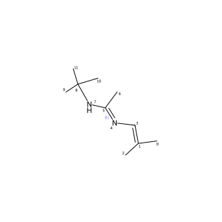 CC(C)=C/N=C(\C)NC(C)(C)C